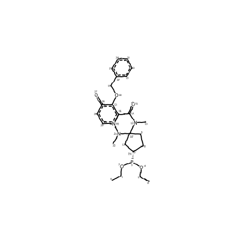 CCOP(OCC)[C@H]1CCC2(C1)N(C)C(=O)c1c(OCc3ccccc3)c(=O)ccn1N2C